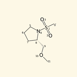 [CH2]S(=O)(=O)N1CCC[C@H]1COC